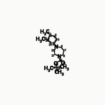 Cc1ccc(N2CCCN(C(=O)OC(C)(C)C)CC2)cc1C